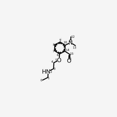 CCNCCOc1cccc(N(C)C)c1C=O